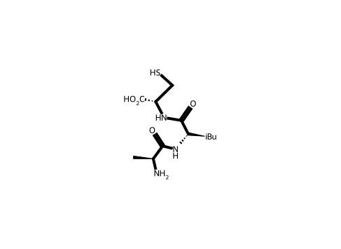 CC[C@H](C)[C@H](NC(=O)[C@H](C)N)C(=O)N[C@@H](CS)C(=O)O